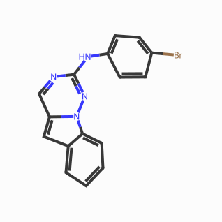 Brc1ccc(Nc2ncc3cc4ccccc4n3n2)cc1